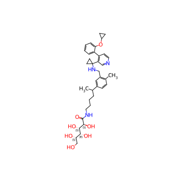 Cc1ccc(C(C)CCCCNC(=O)[C@@H](O)[C@@H](O)[C@H](O)[C@@H](O)CO)cc1CNC1(c2cnccc2-c2ccccc2OC2CC2)CC1